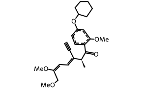 C#C/C(=C\C=C(/COC)OC)[C@H](C)C(=O)c1ccc(OC2CCCCC2)cc1OC